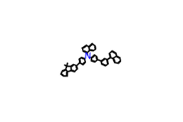 CC1(C)c2ccccc2-c2ccc(-c3ccc(N(c4ccc(-c5cccc(-c6cccc7ccccc67)c5)cc4)c4cccc5ccccc45)cc3)cc21